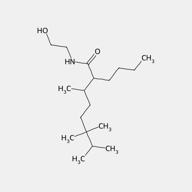 CCCCC(C(=O)NCCO)C(C)CCC(C)(C)C(C)C